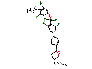 Cc1c(F)cc(OC(F)(F)c2c(F)cc(-c3ccc(C4CCC(C)CO4)cc3)cc2F)cc1F